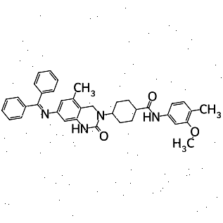 COc1cc(NC(=O)C2CCC(N3Cc4c(C)cc(N=C(c5ccccc5)c5ccccc5)cc4NC3=O)CC2)ccc1C